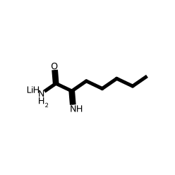 CCCCCC(=N)C(N)=O.[LiH]